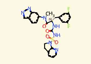 CN(C(=O)[C@H](Cc1cc(F)cc(F)c1)NC(=O)NS(=O)(=O)N1CCc2cccnc21)c1ccc2cncnc2c1